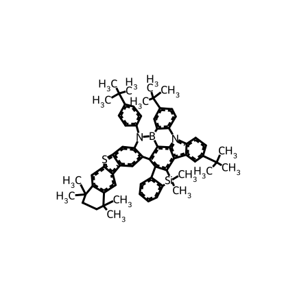 CC(C)(C)c1ccc(N2B3c4cc(C(C)(C)C)ccc4-n4c5ccc(C(C)(C)C)cc5c5c6c(c(c3c54)-c3cc4c(cc32)sc2cc3c(cc24)C(C)(C)CCC3(C)C)-c2ccccc2[Si]6(C)C)cc1